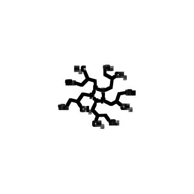 CC(Cp1p(CC(C)CC(C)(C)C)p(CC(C)CC(C)(C)C)p(CC(C)CC(C)(C)C)p1CC(C)CC(C)(C)C)CC(C)(C)C